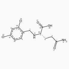 NC(=O)CC[C@H](NCc1ccc(Cl)cc1Cl)C(=O)O